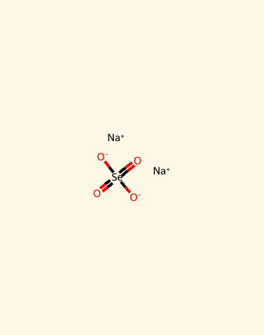 O=[Se](=O)([O-])[O-].[Na+].[Na+]